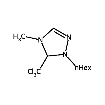 CCCCCCN1N=CN(C)C1C(Cl)(Cl)Cl